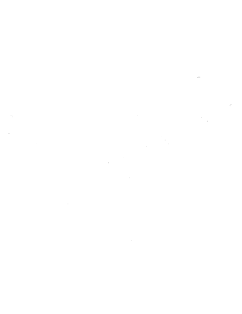 C1=C(c2ccc(-c3ccc4c(-c5ccc6ccccc6c5)c5ccccc5c(-c5ccc6ccccc6c5)c4c3)cn2)CNc2ccccc21